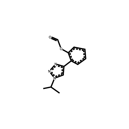 CC(C)n1cc(-c2ccccc2OC=O)nn1